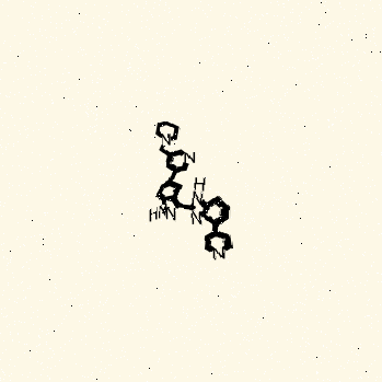 c1cc(-c2ccncc2)c2nc(-c3n[nH]c4ccc(-c5cncc(CN6CCCCC6)c5)cc34)[nH]c2c1